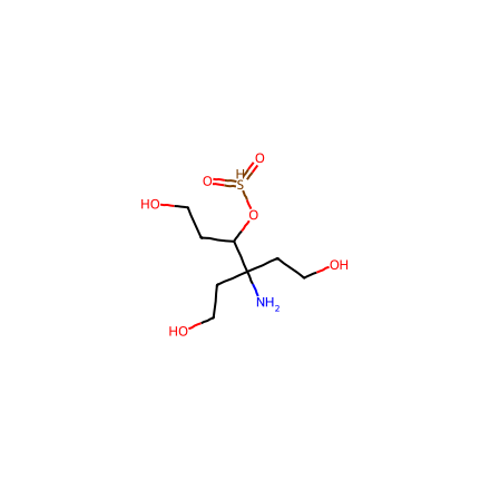 NC(CCO)(CCO)C(CCO)O[SH](=O)=O